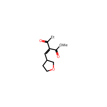 CCC(=O)C(=CC1CCOC1)C(=O)OC